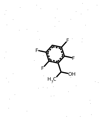 CC(O)c1c(F)c(F)cc(F)c1F